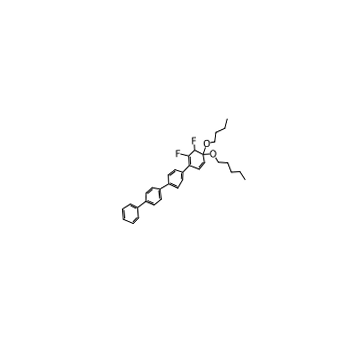 CCCCCOC1(OCCCC)C=CC(c2ccc(-c3ccc(-c4ccccc4)cc3)cc2)=C(F)C1F